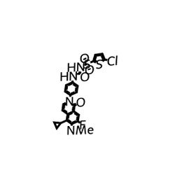 CNc1c(F)cc2c(=O)n(-c3ccc(NC(=O)NS(=O)(=O)c4ccc(Cl)s4)cc3)ccc2c1C1CC1